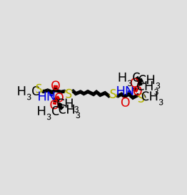 CSCCC(NC(=O)OC(C)(C)C)C(=O)CCSCCCCCCCCCCSCCC(=O)C(CCSC)NC(=O)OC(C)(C)C